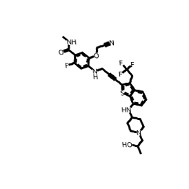 CNC(=O)c1cc(OCC#N)c(NCC#Cc2sc3c(NC4CCN(CC(C)O)CC4)cccc3c2CC(F)(F)F)cc1F